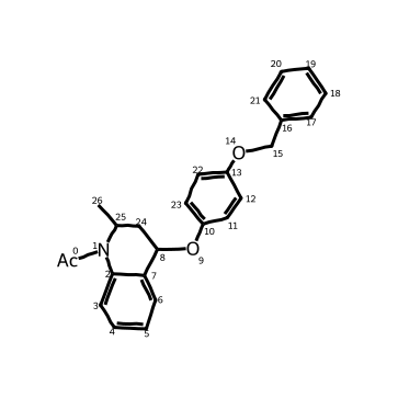 CC(=O)N1c2ccccc2C(Oc2ccc(OCc3ccccc3)cc2)CC1C